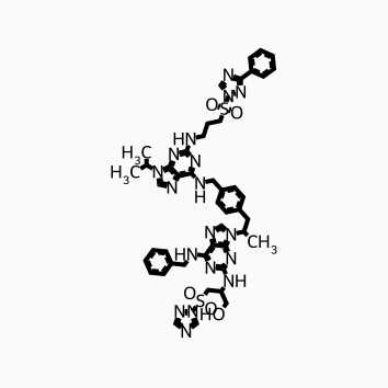 CC(C)n1cnc2c(NCc3ccc(CC(C)n4cnc5c(NCc6ccccc6)nc(NC(CO)CS(=O)(=O)n6cncn6)nc54)cc3)nc(NCCCS(=O)(=O)n3cnc(-c4ccccc4)n3)nc21